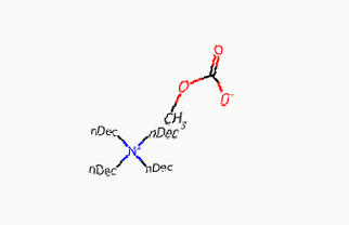 CCCCCCCCCC[N+](CCCCCCCCCC)(CCCCCCCCCC)CCCCCCCCCC.COC(=O)[O-]